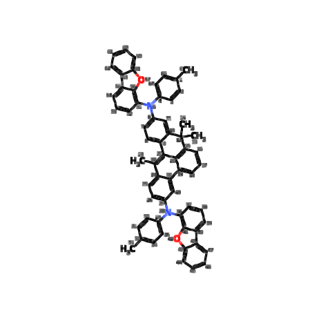 Cc1ccc(N(c2ccc3c(c2)C(C)(C)c2cccc4c2c-3c(C)c2ccc(N(c3ccc(C)cc3)c3cccc5c3oc3ccccc35)cc24)c2cccc3c2oc2ccccc23)cc1